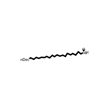 CCCCCCCCCCCCCCCCCCCCCCCCCCCCCC[SiH](C)[O]